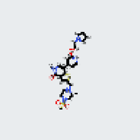 C[C@@H]1CN(S(C)(=O)=O)CCN1Cc1cc2c(=O)n(C)cc(-c3ccnc(OCCN4CCCC4)c3)c2s1